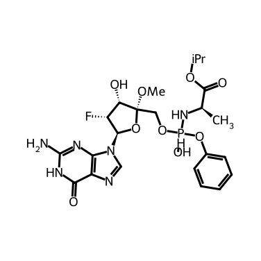 CO[C@]1(CO[PH](O)(N[C@H](C)C(=O)OC(C)C)Oc2ccccc2)O[C@@H](n2cnc3c(=O)[nH]c(N)nc32)[C@H](F)[C@@H]1O